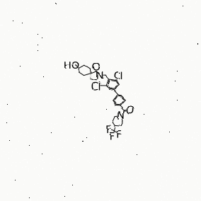 O=C(c1ccc(-c2cc(Cl)c(CN3CC[C@]4(CC[C@H](O)CC4)C3=O)c(Cl)c2)cc1)N1CCC(C(F)(F)F)CC1